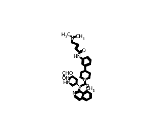 Cc1cccc2ccnc(N(C(=O)N3CCC(c4cccc(NC(=O)/C=C/CN(C)C)c4)CC3)[C@@H]3CCCNC3)c12.O=CO